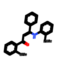 COc1ccccc1C(=O)C=C(Nc1ccccc1NC(C)=O)c1ccccc1